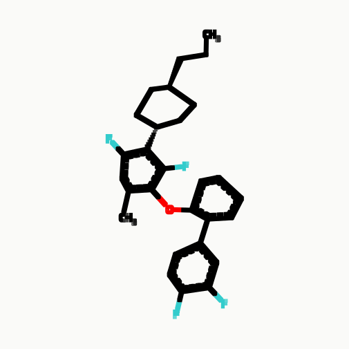 CCC[C@H]1CC[C@H](c2c(F)cc(C)c(Oc3ccccc3-c3ccc(F)c(F)c3)c2F)CC1